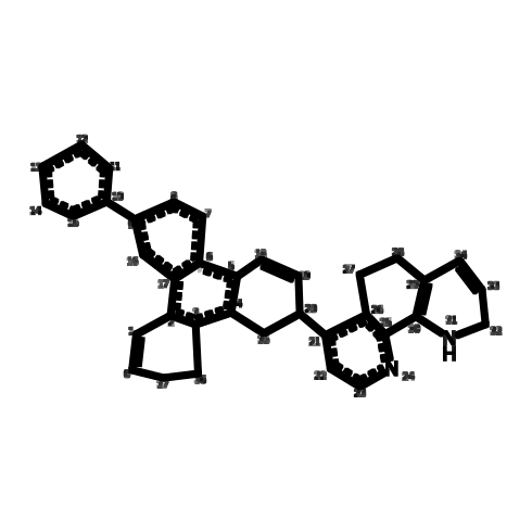 C1=Cc2c(c3c(c4ccc(-c5ccccc5)cc24)C=CC(c2ccnc4c2CCC2=C4NCC=C2)C3)CC1